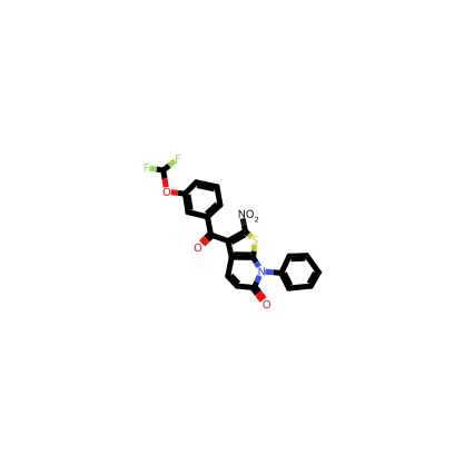 O=C(c1cccc(OC(F)F)c1)c1c([N+](=O)[O-])sc2c1ccc(=O)n2-c1ccccc1